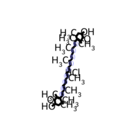 CC1=C(/C=C/C(C)=C/C=C/C(C)=C/C=C/C=C(C)/C=C/C=C(C)/C=C/C2=C(C)C(=O)C(O)CC2(C)C)C(C)(C)CC(O)C1=O.Cl